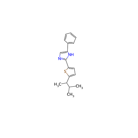 CC(C)C(C)c1ccc(-c2ncc(-c3ccccc3)[nH]2)s1